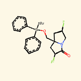 CC(C)(C)[Si](OCC12CC(F)CN1C(=O)C(F)C2)(c1ccccc1)c1ccccc1